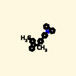 Cc1ccc2c(c1)-c1ccccc1C2C(C)c1ccc(-c2ccc(-n3c4ccccc4c4ccccc43)cc2)cc1